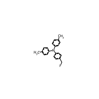 Cc1ccc(N(c2ccc(C)cc2)c2ccc(CF)cc2)cc1